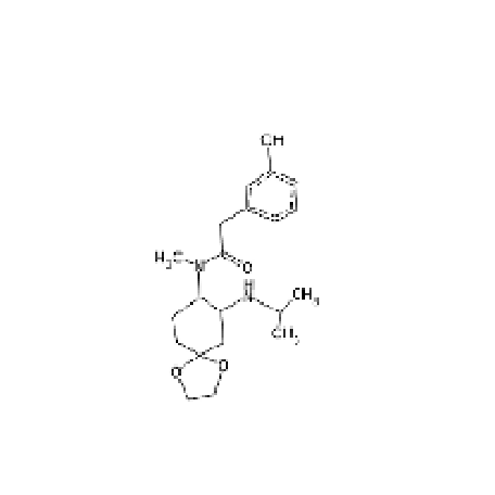 CC(C)NC1CC2(CCC1N(C)C(=O)Cc1cccc(O)c1)OCCO2